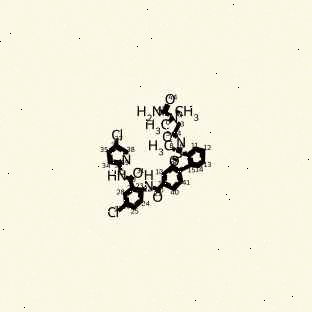 C[N+](C)(CC(=O)N=S(C)(=O)c1ccccc1-c1ccc(C(=O)Nc2ccc(Cl)cc2C(=O)Nc2ccc(Cl)cn2)cc1)C(N)=O